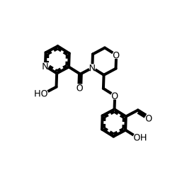 O=Cc1c(O)cccc1OCC1COCCN1C(=O)c1cccnc1CO